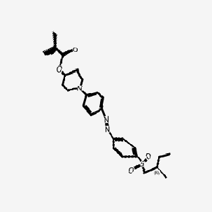 C=C(C)C(=O)OC1CCN(c2ccc(N=Nc3ccc(S(=O)(=O)C[C@H](C)CC)cc3)cc2)CC1